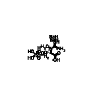 CN(CC(=O)O)C(=N)N.O.O.O=P(O)(O)O.[NaH].[NaH]